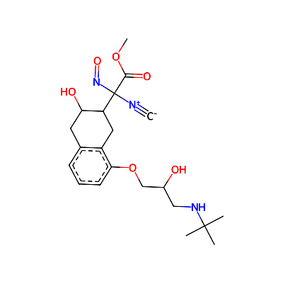 [C-]#[N+]C(N=O)(C(=O)OC)C1Cc2c(cccc2OCC(O)CNC(C)(C)C)CC1O